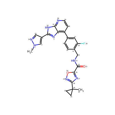 Cn1cc(-c2nc3c(-c4ccc(CNC(=O)c5nc(C6(C)CC6)no5)c(F)c4)ccnc3[nH]2)cn1